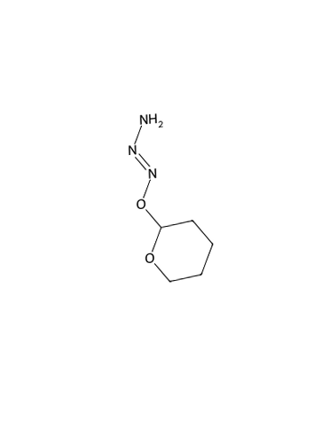 NN=NOC1CCCCO1